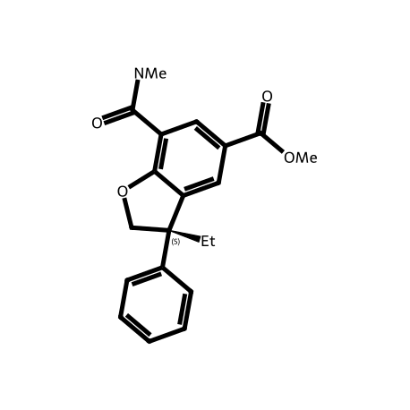 CC[C@@]1(c2ccccc2)COc2c(C(=O)NC)cc(C(=O)OC)cc21